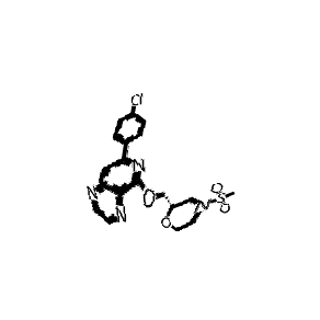 CS(=O)(=O)N1CCO[C@H](COc2nc(-c3ccc(Cl)cc3)cc3nccnc23)C1